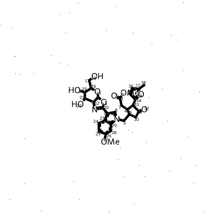 COC(=O)CC1C(Cn2cc(C3=NC4C(O3)OC(CO)C(O)C4O)c3ccc(OC)cc32)CC(=O)C1c1ccc(C)o1